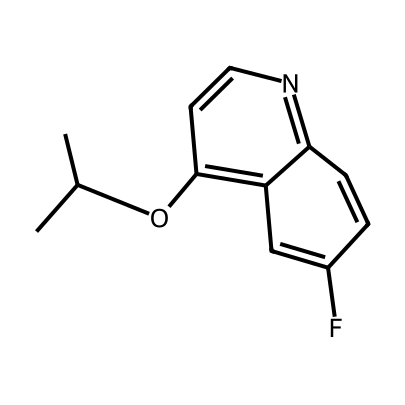 CC(C)Oc1ccnc2ccc(F)cc12